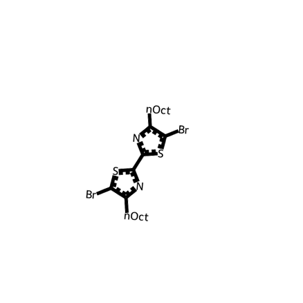 CCCCCCCCc1nc(-c2nc(CCCCCCCC)c(Br)s2)sc1Br